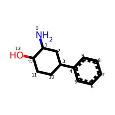 NC1CC(c2ccccc2)CCC1O